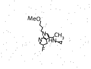 COCCCCn1cc(C(C)NC2CC2)c2c1N=CC(F)C2